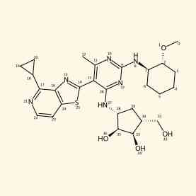 CO[C@@H]1CCCC[C@H]1Nc1nc(C)c(-c2nc3c(C4CC4)nccc3s2)c(N[C@@H]2C[C@H](CO)[C@@H](O)[C@H]2O)n1